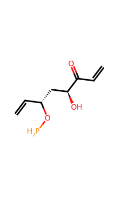 C=CC(=O)[C@@H](O)C[C@@H](C=C)OP